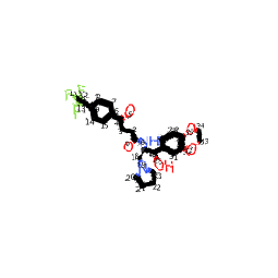 O=C(CCC(=O)c1ccc(C(F)(F)F)cc1)N[C@H](CN1CCCC1)[C@@H](O)c1ccc2c(c1)OCCO2